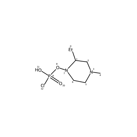 CCC1CN(C)CCN1OP(=O)(O)Cl